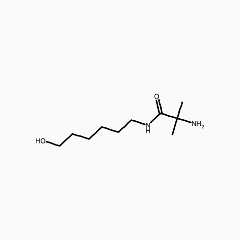 CC(C)(N)C(=O)NCCCCCCO